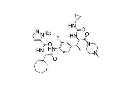 CCn1nccc1C(=O)N[C@H](C(=O)Nc1ccc([C@H](C)[C@@H](NC(=O)NC2CC2)C(=O)N2CCN(C)CC2)cc1F)C1CCCCCC1